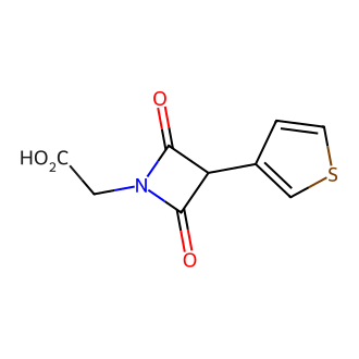 O=C(O)CN1C(=O)C(c2ccsc2)C1=O